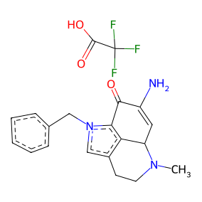 CN1CCc2cn(Cc3ccccc3)c3c2C1C=C(N)C3=O.O=C(O)C(F)(F)F